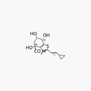 O=C(O)[C@@]1(O)CC(O)[C@H](O)c2sc(/C=C/C3CC3)cc21